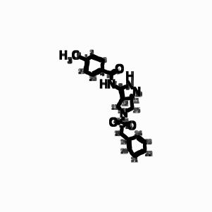 Cc1ccc(C(=O)Nc2[nH]nc3c2CN(S(=O)(=O)Cc2ccccc2)C3)cc1